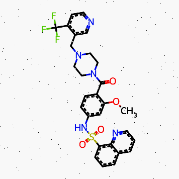 COc1cc(NS(=O)(=O)c2cccc3cccnc23)ccc1C(=O)N1CCN(Cc2cnccc2C(F)(F)F)CC1